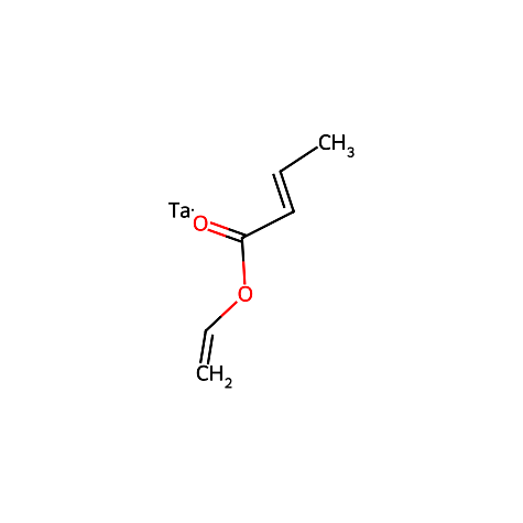 C=COC(=O)C=CC.[Ta]